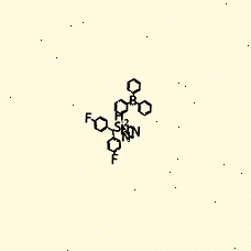 Fc1ccc(C([SiH2]n2cncn2)c2ccc(F)cc2)cc1.c1ccc(B(c2ccccc2)c2ccccc2)cc1